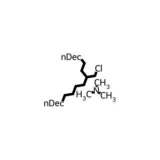 CCCCCCCCCCCCCCC(CCl)CCCCCCCCCCCC.CN(C)C